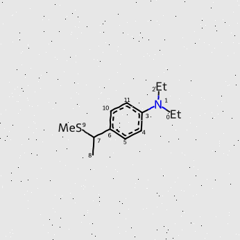 CCN(CC)c1ccc(C(C)SC)cc1